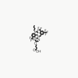 CCCCN(CC)c1ccc(C(F)(F)F)cc1CN(Cc1cc(C(F)(F)F)cc(C(F)(F)F)c1)c1ncc(OCCCC(=O)O)cn1